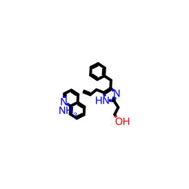 C=CCc1[nH]c(CCO)nc1Cc1ccccc1.N.c1ccc2ncccc2c1